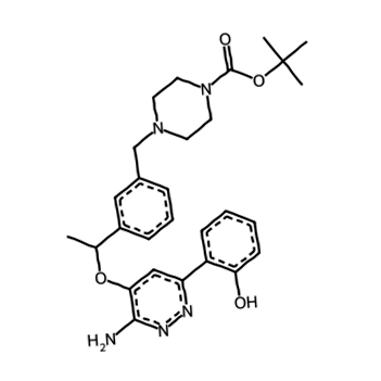 CC(Oc1cc(-c2ccccc2O)nnc1N)c1cccc(CN2CCN(C(=O)OC(C)(C)C)CC2)c1